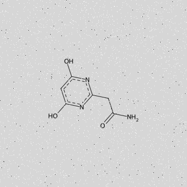 NC(=O)Cc1nc(O)cc(O)n1